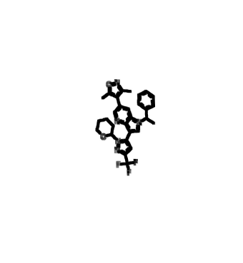 Cc1noc(C)c1-c1cnc2c(-c3cc(C(F)(F)F)nn3C3CCCCO3)cn(C(C)c3ccccc3)c2c1